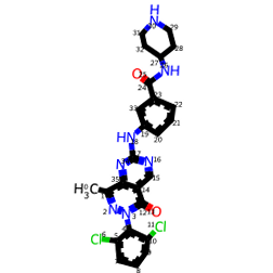 Cc1nn(-c2c(Cl)cccc2Cl)c(=O)c2cnc(Nc3cccc(C(=O)NC4CCNCC4)c3)nc12